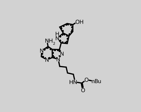 CCCCOC(=O)NCCCCn1nc(-c2cc3cc(O)ccc3[nH]2)c2c(N)ncnc21